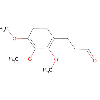 COc1ccc(CC[C]=O)c(OC)c1OC